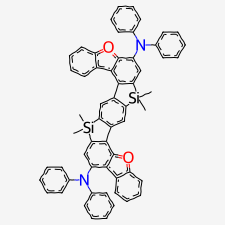 C[Si]1(C)c2cc3c(cc2-c2c1cc(N(c1ccccc1)c1ccccc1)c1c2oc2ccccc21)[Si](C)(C)c1cc(N(c2ccccc2)c2ccccc2)c2oc4ccccc4c2c1-3